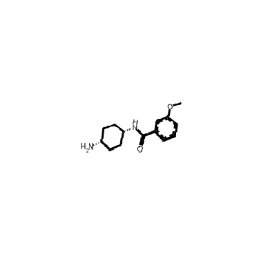 COc1cccc(C(=O)N[C@H]2CC[C@@H](N)CC2)c1